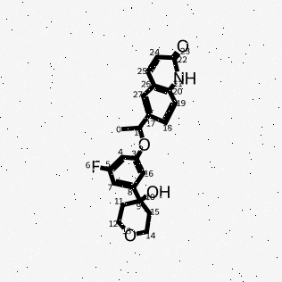 CC(Oc1cc(F)cc(C2(O)CCOCC2)c1)c1ccc2[nH]c(=O)ccc2c1